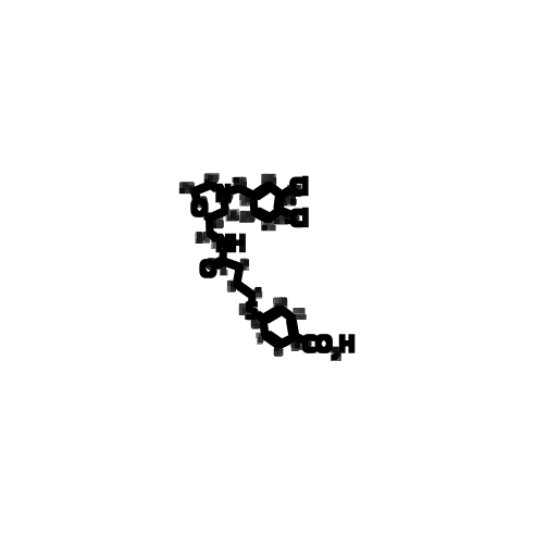 O=C(CCCSc1ccc(C(=O)O)cc1)NCC1CN(Cc2ccc(Cl)c(Cl)c2)CCO1